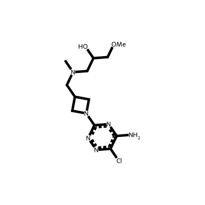 COCC(O)CN(C)CC1CN(c2nnc(Cl)c(N)n2)C1